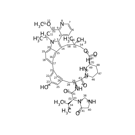 CCn1c(-c2cccnc2[C@H](C)OC)c2c3cc(ccc31)-c1cc(O)cc(c1)C[C@H](NC(=O)[C@H](C(C)C)N1CNCC1=O)C(=O)N1CCC[C@H](N1)C(=O)OCC(C)(C)C2